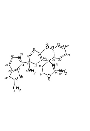 Cc1nc2c(C3(N)C=CC4=C(C3)C3(CCOC(N)=N3)c3ccncc3O4)nccc2s1